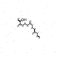 C=CC/C(C)=C/CCC(C)CCCC(C)C(=C)O